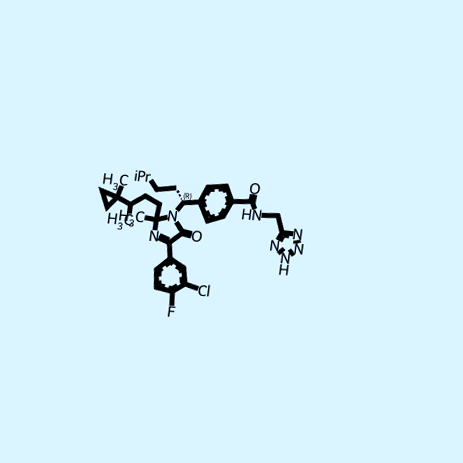 CC(C)CC[C@H](c1ccc(C(=O)NCc2nn[nH]n2)cc1)N1C(=O)C(c2ccc(F)c(Cl)c2)=NC1(C)CCC(C)C1(C)CC1